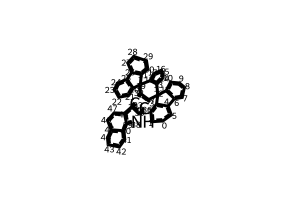 c1ccc2c(c1)-c1ccccc1C21c2ccccc2C2(c3ccccc3-c3ccccc32)c2cc3c(cc21)[nH]c1c2ccccc2ccc31